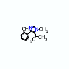 Cc1ccccc1-c1ncn(C)c1C(C)C